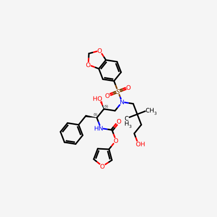 CC(C)(CCO)CN(C[C@H](O)[C@H](Cc1ccccc1)NC(=O)Oc1ccoc1)S(=O)(=O)c1ccc2c(c1)OCO2